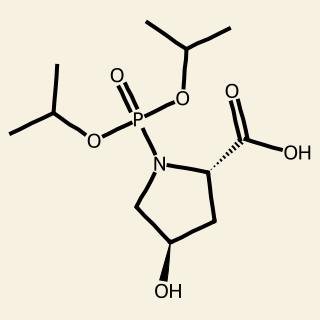 CC(C)OP(=O)(OC(C)C)N1C[C@H](O)C[C@H]1C(=O)O